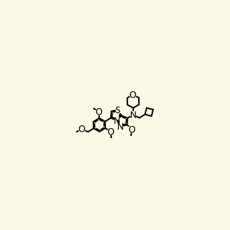 COCc1cc(OC)c(-c2csc3c(N(CC4CCC4)C4CCOCC4)c(OC)nn23)c(OC)c1